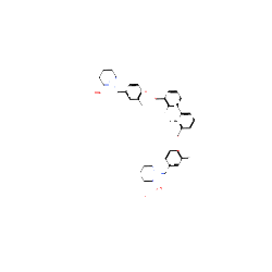 Cc1cc(CN2CCCC[C@H]2C(=O)O)ccc1OCc1cccc(-c2cccc(COc3ccc(CN4CCCC[C@H]4C(=O)O)cc3C)c2C)c1C